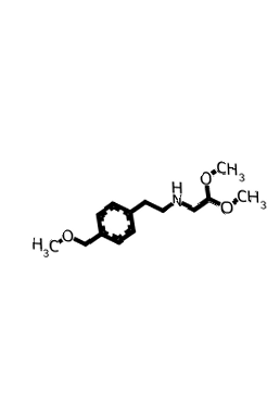 COCc1ccc(CCNCC(OC)OC)cc1